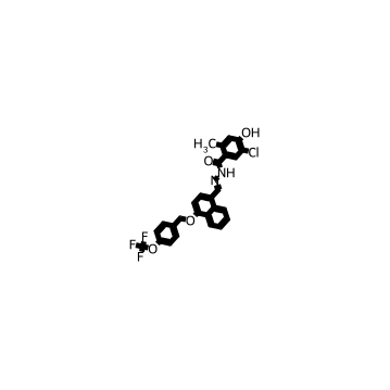 Cc1cc(O)c(Cl)cc1C(=O)N/N=C/c1ccc(OCc2ccc(OC(F)(F)F)cc2)c2ccccc12